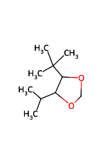 CC(C)C1OCOC1C(C)(C)C